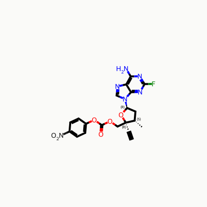 C#C[C@]1(COC(=O)Oc2ccc([N+](=O)[O-])cc2)O[C@@H](n2cnc3c(N)nc(F)nc32)C[C@@H]1C